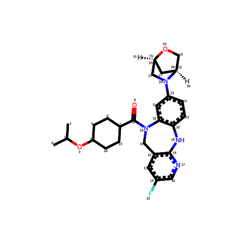 CC(C)OC1CCC(C(=O)N2Cc3cc(F)cnc3Nc3ccc(N4C[C@@H]5C[C@H]4CO5)cc32)CC1